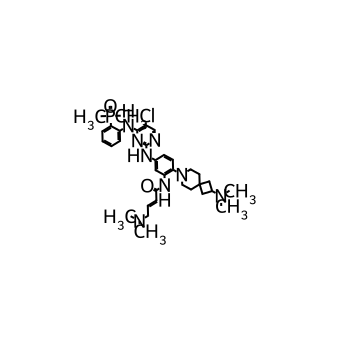 CN(C)C/C=C/C(=O)Nc1cc(Nc2ncc(Cl)c(Nc3ccccc3P(C)(C)=O)n2)ccc1N1CCC2(CC1)CC(N(C)C)C2